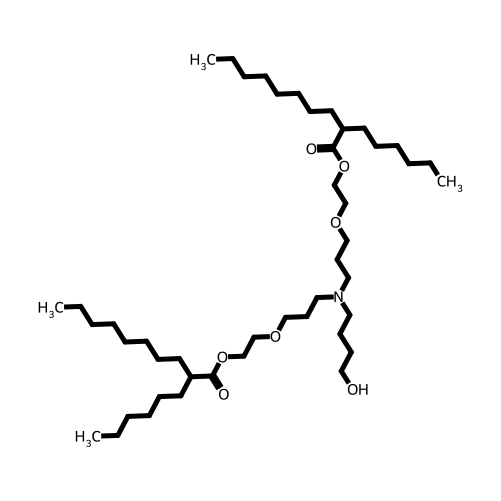 CCCCCCCCC(CCCCCC)C(=O)OCCOCCCN(CCCCO)CCCOCCOC(=O)C(CCCCCC)CCCCCCCC